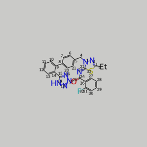 CCc1nn(Cc2ccc(-c3ccccc3-c3nnn[nH]3)cc2)c(=NC(=O)c2ccccc2F)s1